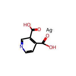 O=C(O)c1ccncc1C(=O)O.[Ag]